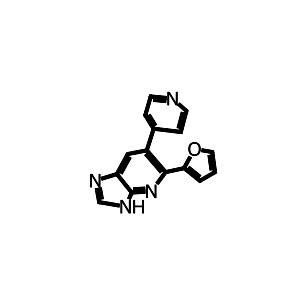 c1coc(-c2nc3[nH]cnc3cc2-c2ccncc2)c1